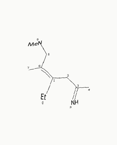 CC/C(CC(C)=N)=C(\C)CNC